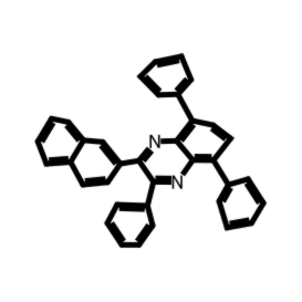 c1ccc(-c2nc3c(-c4ccccc4)ccc(-c4ccccc4)c3nc2-c2ccc3ccccc3c2)cc1